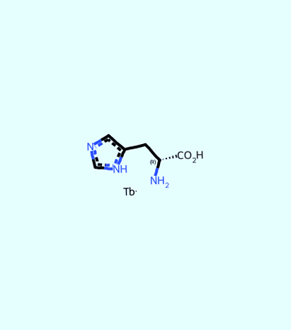 N[C@H](Cc1cnc[nH]1)C(=O)O.[Tb]